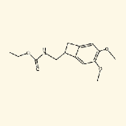 CCOC(=O)NCC1Cc2cc(OC)c(OC)cc21